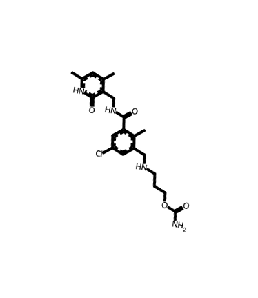 Cc1cc(C)c(CNC(=O)c2cc(Cl)cc(CNCCCOC(N)=O)c2C)c(=O)[nH]1